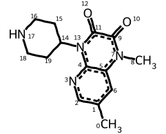 Cc1cnc2c(c1)n(C)c(=O)c(=O)n2C1CCNCC1